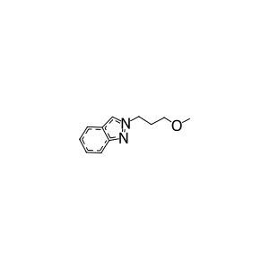 COCCCn1cc2ccccc2n1